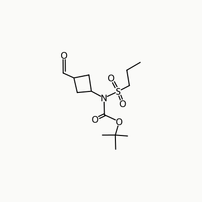 CCCS(=O)(=O)N(C(=O)OC(C)(C)C)C1CC(C=O)C1